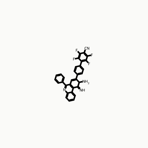 N#Cc1c(F)c(F)c(-c2ccc(C3=Cc4c(-c5ccccc5)nc5ccccc5c4C(=N)C3N)cc2)c(F)c1F